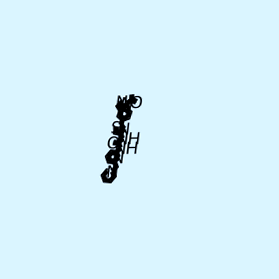 CC(=O)n1ncc2cc(-c3nc(NC(=O)Nc4cccc(CN5CCCCC5)n4)cs3)ccc21